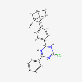 Clc1nc(-c2ccccc2)nc(-c2ccc(C3C4CC5C[C@H]3C54)cc2)n1